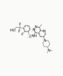 Cc1nnc(N[C@H](C)c2cccc(C(F)(F)CO)c2F)c2cc(N3CCC(N(C)C)CC3)cnc12